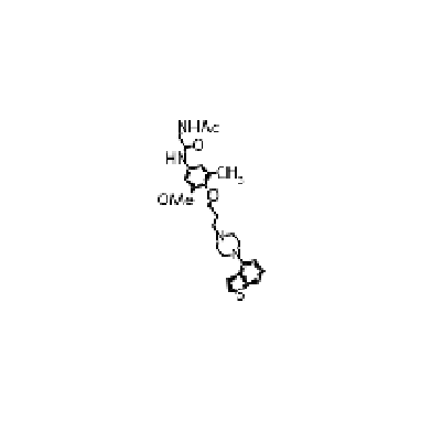 COc1cc(NC(=O)CNC(C)=O)cc(C)c1OCCCN1CCN(c2cccc3sccc23)CC1